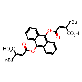 CCCCC(=CC(=O)Oc1c2ccccc2c(OC(=O)C=C(CCCC)C(=O)O)c2ccccc12)C(=O)O